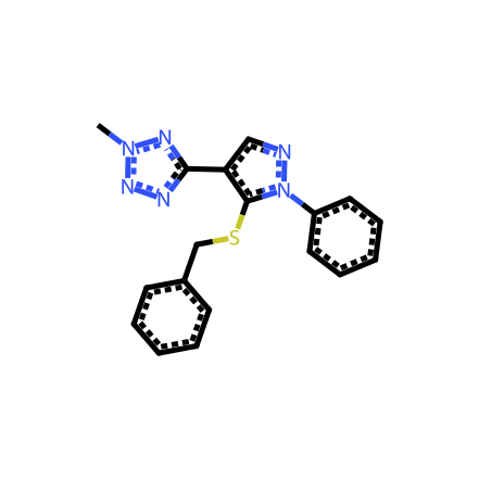 Cn1nnc(-c2cnn(-c3ccccc3)c2SCc2ccccc2)n1